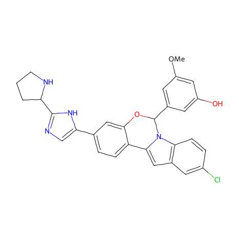 COc1cc(O)cc(C2Oc3cc(-c4cnc(C5CCCN5)[nH]4)ccc3-c3cc4cc(Cl)ccc4n32)c1